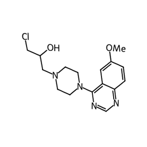 COc1ccc2ncnc(N3CCN(CC(O)CCl)CC3)c2c1